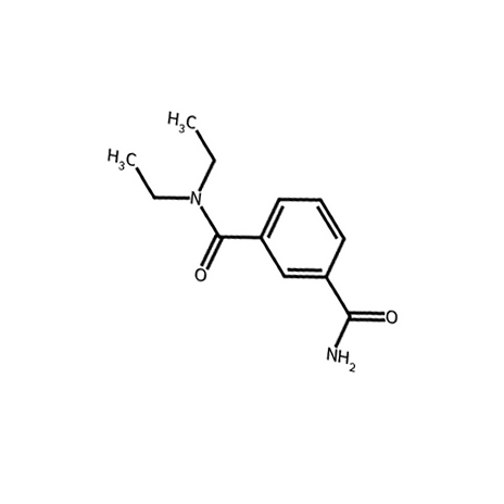 CCN(CC)C(=O)c1cccc(C(N)=O)c1